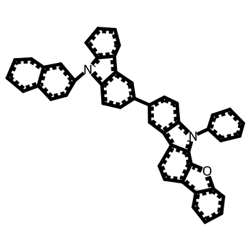 c1ccc(-n2c3ccc(-c4ccc5c(c4)c4ccccc4n5-c4ccc5ccccc5c4)cc3c3ccc4c5ccccc5oc4c32)cc1